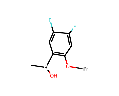 CB(O)c1cc(F)c(F)cc1OC(C)C